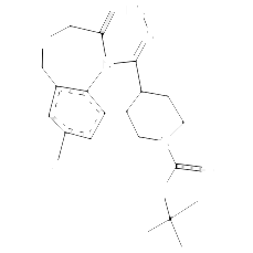 C=C1COCc2cc(Cl)ccc2N1/C(=N\N)C1CCN(C(=O)OC(C)(C)C)CC1